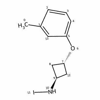 Cc1cccc(O[C@H]2C[C@H](NI)C2)c1